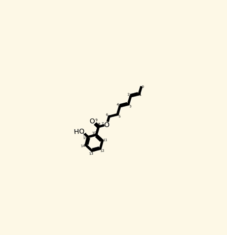 CC=CC=CCCOC(=O)c1ccccc1O